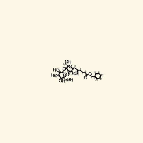 O=C(CCCC(=O)OCc1ccccc1)C[C@@H]1O[C@H](CO)[C@@H](O[C@@H]2O[C@H](CO)[C@H](O)[C@H](O)[C@H]2O)[C@H](O)[C@H]1O